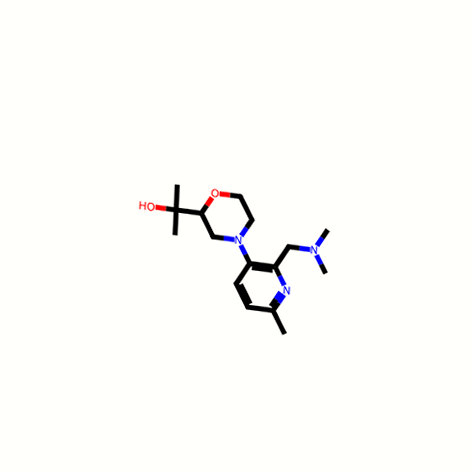 Cc1ccc(N2CCOC(C(C)(C)O)C2)c(CN(C)C)n1